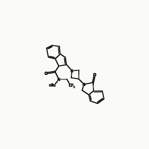 CCCCN(CC(F)(F)F)C(=O)C1C(N2CC(N3Cc4ccccc4C3=O)C2)=Cc2ccccc21